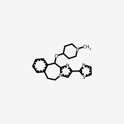 CN1CCC(OC2c3ccccc3CCn3cc(-c4nccs4)nc32)CC1